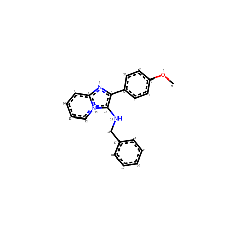 COc1ccc(-c2nc3ccccn3c2NCc2ccccc2)cc1